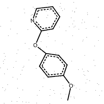 COc1ccc(Oc2ccc[c]n2)cc1